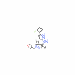 Fc1ccccc1-c1ccc(N[C@H]2[C@@H]3CN(CC4CCOCC4)C[C@@H]32)nn1